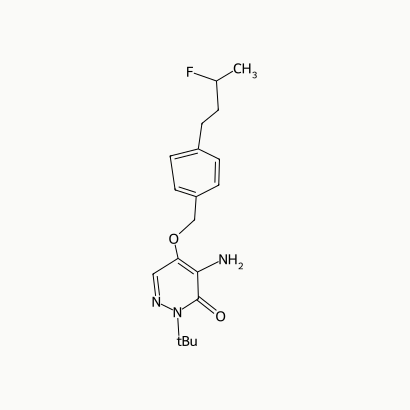 CC(F)CCc1ccc(COc2cnn(C(C)(C)C)c(=O)c2N)cc1